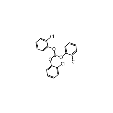 Clc1ccccc1OB(Oc1ccccc1Cl)Oc1ccccc1Cl